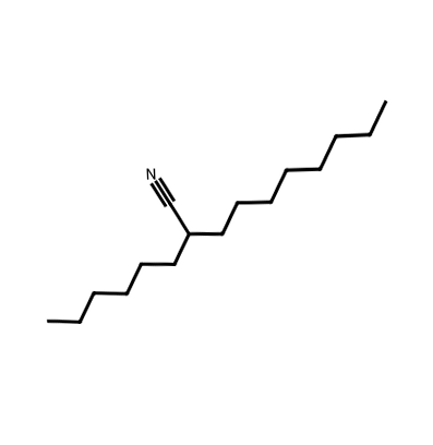 CCCCCCCCC(C#N)CCCCCC